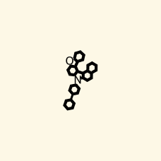 c1ccc(-c2ccc(-n3c4ccc5ccccc5c4c4c5c(ccc43)oc3ccccc35)cc2)cc1